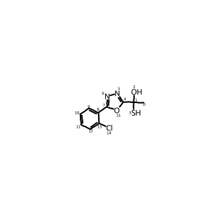 CC(O)(S)c1nnc(-c2ccccc2Cl)o1